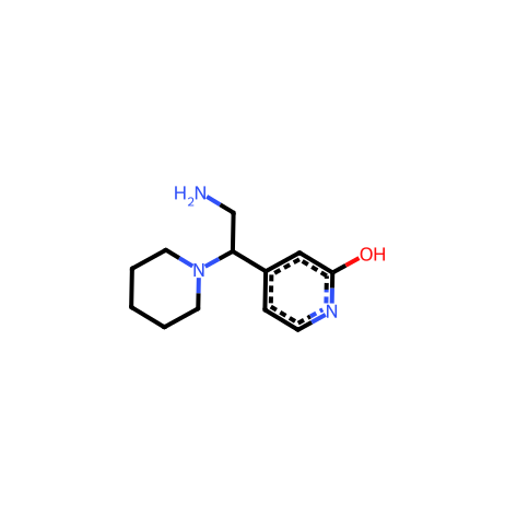 NCC(c1ccnc(O)c1)N1CCCCC1